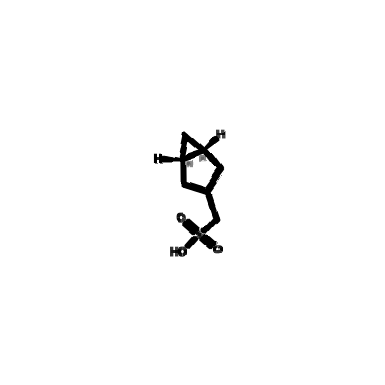 O=S(=O)(O)CC1C[C@@H]2C[C@@H]2C1